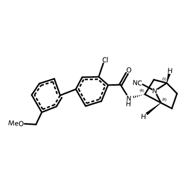 COCc1cccc(-c2ccc(C(=O)N[C@@H]3C[C@@H]4CC[C@H]3N4C#N)c(Cl)c2)c1